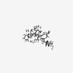 Cc1cc2c(CN)cc(F)cc2n1-c1ncc(C(C)C)c(NCc2ccccc2)n1